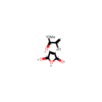 C=C(CC)C(=O)OC.O=C1C=CC(=O)O1